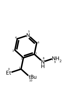 CCC(c1ccncc1NN)C(C)(C)C